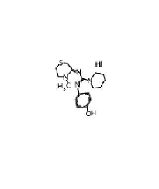 CN1CCSCC1=NC(=Nc1ccc(O)cc1)N1CCCCC1.I